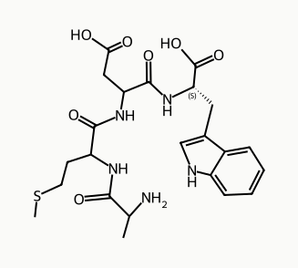 CSCCC(NC(=O)C(C)N)C(=O)NC(CC(=O)O)C(=O)N[C@@H](Cc1c[nH]c2ccccc12)C(=O)O